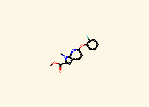 COC(=O)c1cc2ccc(Oc3ccccc3F)nc2n1C